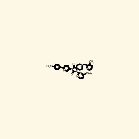 COc1ccnc(N2C(=O)N(c3ccc(-c4ccc(C(=O)O)cc4)nc3)C(=O)C23CCN(Cc2ncccc2C)CC3)n1